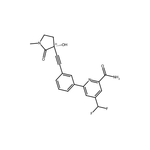 CN1CC[C@@](O)(C#Cc2cccc(-c3cc(C(F)F)cc(C(N)=O)n3)c2)C1=O